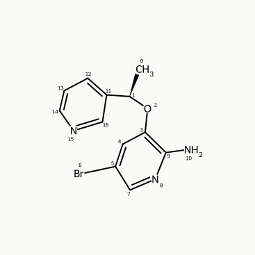 C[C@@H](Oc1cc(Br)cnc1N)c1cccnc1